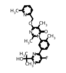 Cc1cccc(COc2nc(C)n(-c3cc(-c4nc(C(C)(C)O)ncc4F)ccc3C)c(=O)c2C)n1